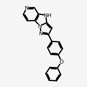 c1ccc(Oc2ccc(-c3cc4[nH]c5cnccc5n4n3)cc2)cc1